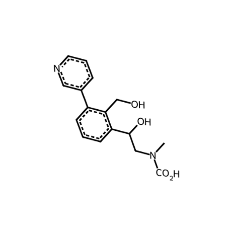 CN(CC(O)c1cccc(-c2cccnc2)c1CO)C(=O)O